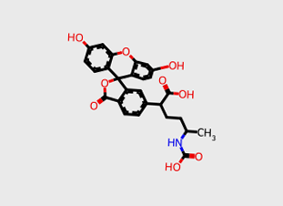 CC(CCC(C(=O)O)c1ccc2c(c1)C1(OC2=O)c2ccc(O)cc2Oc2cc(O)ccc21)NC(=O)O